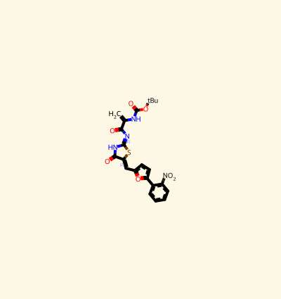 C=C(NC(=O)OC(C)(C)C)C(=O)/N=C1\NC(=O)/C(=C/c2ccc(-c3ccccc3[N+](=O)[O-])o2)S1